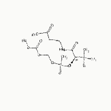 CCC(C)(C)[C@@H](OP(C)(=O)OCOC(=O)OC(C)(C)C)C(=O)NCCC(=O)OC